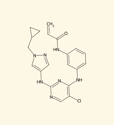 C=CC(=O)Nc1cccc(Nc2nc(Nc3cnn(CC4CC4)c3)ncc2Cl)c1